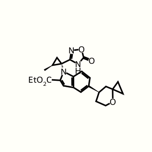 CCOC(=O)c1cc2cc([C@@H]3CCOC4(CC4)C3)ccc2n1[C@@]1(c2noc(=O)[nH]2)C[C@@H]1C